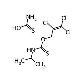 CC(C)NC(=S)OCC(Cl)=C(Cl)Cl.NC(O)=S